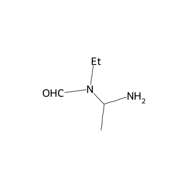 [CH2]CN(C=O)C(C)N